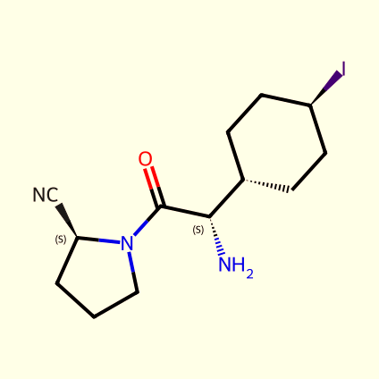 N#C[C@@H]1CCCN1C(=O)[C@@H](N)[C@H]1CC[C@H](I)CC1